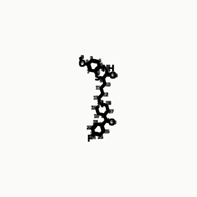 COc1ccc2c(c1)SC(CCCCN1CCC(C(=O)c3ccc(F)cc3)CC1)C(=O)N2